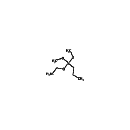 CCC[Si](OC)(OC)O[CH2][SnH3]